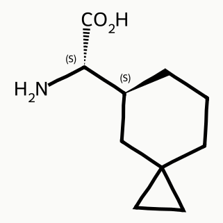 N[C@H](C(=O)O)[C@H]1CCCC2(CC2)C1